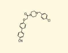 N#Cc1ccc(-c2ccc(OCC(=O)N3CCN(Cc4ccc(Cl)cc4)CC3)cc2)cc1